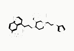 COc1ccc2nccc([C@@H](F)CC[C@@H]3CCN(CCSc4ccsc4)C[C@@H]3CC(=O)O)c2c1